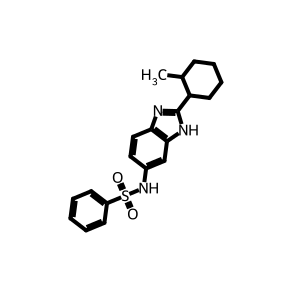 CC1CCCCC1c1nc2ccc(NS(=O)(=O)c3ccccc3)cc2[nH]1